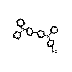 CC(=O)c1ccc(N(c2ccccc2)c2ccc(-c3ccc(N(c4ccccc4)c4ccccc4)cc3)cc2)cc1